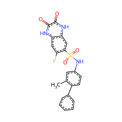 Cc1cc(NS(=O)(=O)c2cc3[nH]c(=O)c(=O)[nH]c3cc2F)ccc1-c1ccccc1